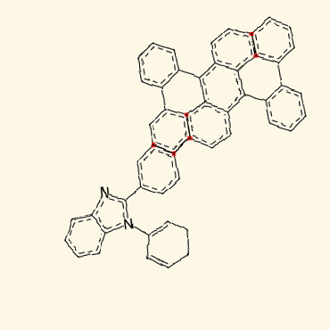 C1=CC(n2c(-c3ccc(-c4ccc5c(-c6ccccc6-c6ccccc6)c6ccccc6c(-c6ccccc6-c6ccccc6)c5c4)cc3)nc3ccccc32)=CCC1